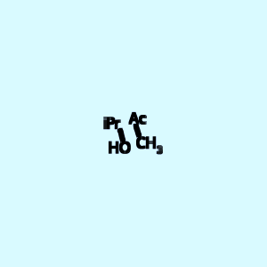 CC(C)=O.CC(C)O